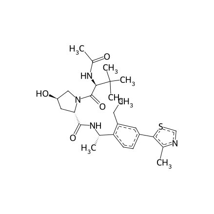 CCc1cc(-c2scnc2C)ccc1[C@H](C)NC(=O)[C@@H]1C[C@@H](O)CN1C(=O)[C@@H](NC(C)=O)C(C)(C)C